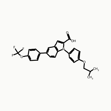 CC(C)COc1ccc(-n2c(C(=O)O)cc3cc(-c4ccc(OC(F)(F)F)cc4)ccc32)cc1